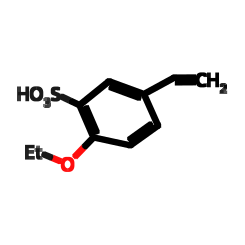 C=Cc1ccc(OCC)c(S(=O)(=O)O)c1